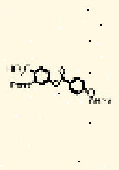 CCCCCCOc1ccc(C(=O)Oc2ccc(C(=O)O)c(C(C)CCC)c2)cc1